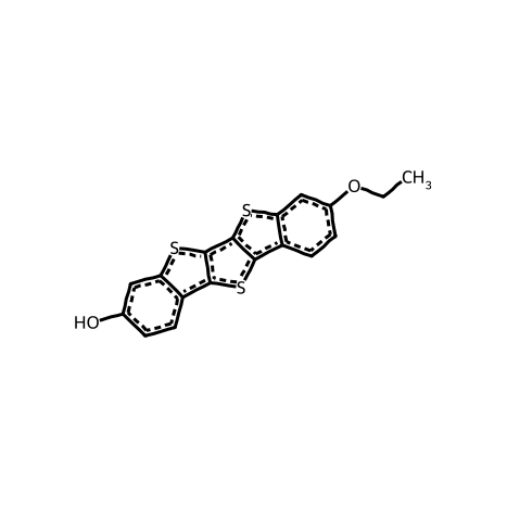 CCOc1ccc2c(c1)sc1c2sc2c3ccc(O)cc3sc21